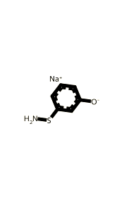 NSc1cccc([O-])c1.[Na+]